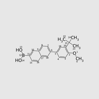 COc1ccc(-c2ccc3cc(B(O)O)ccc3c2)cc1C(C)(C)C